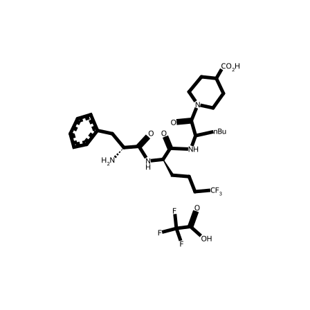 CCCCC(NC(=O)[C@@H](CCCC(F)(F)F)NC(=O)[C@H](N)Cc1ccccc1)C(=O)N1CCC(C(=O)O)CC1.O=C(O)C(F)(F)F